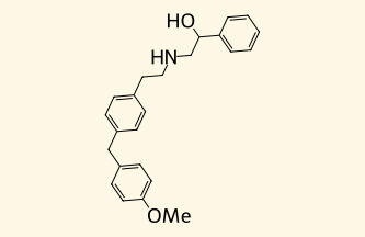 COc1ccc(Cc2ccc(CCNCC(O)c3ccccc3)cc2)cc1